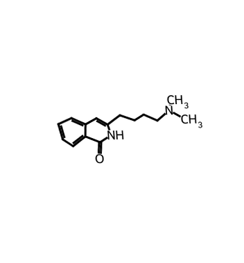 CN(C)CCCCc1cc2ccccc2c(=O)[nH]1